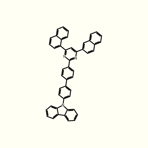 c1ccc2cc(-c3cc(-c4cccc5ccccc45)nc(-c4ccc(-c5ccc(-n6c7ccccc7c7ccccc76)cc5)cc4)n3)ccc2c1